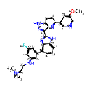 COc1cncc(-c2ccc3[nH]nc(-c4nc5c(-c6cc(F)cc(NCCN(C)C)c6)cccc5[nH]4)c3n2)c1